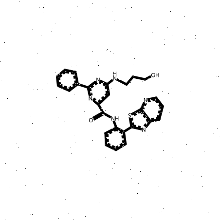 O=C(Nc1ccccc1-c1nc2cccnc2s1)c1cc(NCCCO)nc(-c2ccccc2)n1